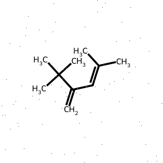 C=C(C=C(C)C)C(C)(C)C